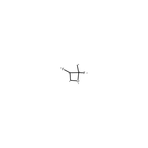 CC1(F)OC[C]1F